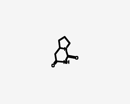 O=C1CC2CCCN2C(=O)N1